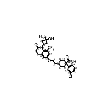 CC1(O)CC(N2C(=O)CCc3cc(OCCN4CCC5(CC4)C(=O)Nc4ccc(Cl)cc45)cc(C(F)(F)F)c32)C1